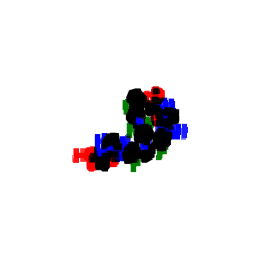 COC(=O)N[C@H](C(=O)N1CCC[C@H]1c1nc2cc([C@H]3CC[C@H](c4cc5nc([C@@H]6CCCN6C(=O)[C@@H](NC(=O)O)C(C)C)[nH]c5cc4F)N3c3cc(F)c(N4CCC(F)(c5ccccc5)CC4)c(F)c3)c(F)cc2[nH]1)C(C)C